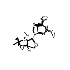 CC1(C)O[C@@H]2[C@H](CO[C@H]2n2cnc3c(Cl)nc(Cl)nc32)O1